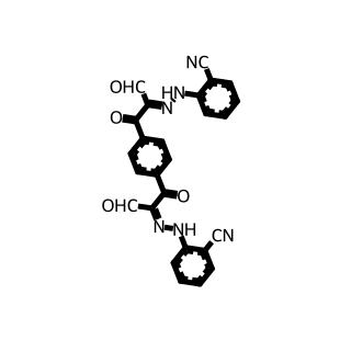 N#Cc1ccccc1NN=C(C=O)C(=O)c1ccc(C(=O)C(C=O)=NNc2ccccc2C#N)cc1